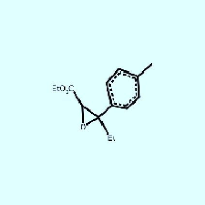 CCOC(=O)C1OC1(CC)c1ccc(C)cc1